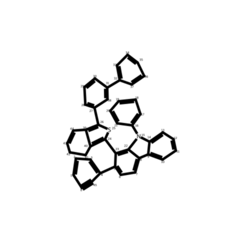 c1cccc(-c2ccc3c4ccccc4n(-c4ccccc4)c3c2-c2sc(-c3cccc(-c4ccccc4)c3)c3c2CCC=C3)c#1